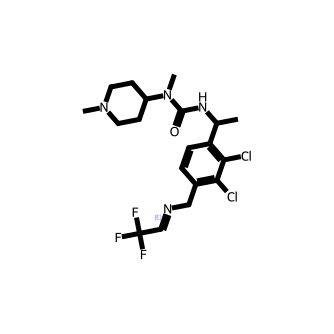 CC(NC(=O)N(C)C1CCN(C)CC1)c1ccc(C/N=C/C(F)(F)F)c(Cl)c1Cl